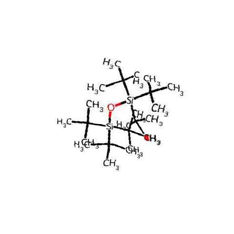 CC(C)(C)[Si](O[Si](C(C)(C)C)(C(C)(C)C)C(C)(C)C)(C(C)(C)C)C(C)(C)C